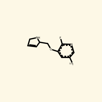 Fc1ncc([123I])cc1OCC1C=CCN1